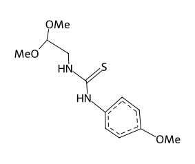 COc1ccc(NC(=S)NCC(OC)OC)cc1